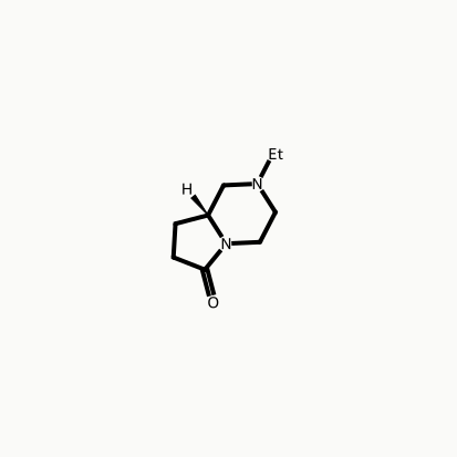 CCN1CCN2C(=O)CC[C@@H]2C1